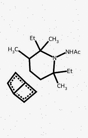 CCC1(C)CCC(C)C(C)(CC)N1NC(C)=O.c1cc2ccc1-2